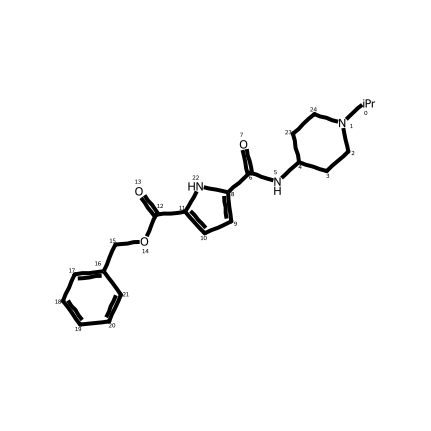 CC(C)N1CCC(NC(=O)c2ccc(C(=O)OCc3ccccc3)[nH]2)CC1